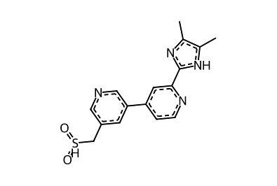 Cc1nc(-c2cc(-c3cncc(C[SH](=O)=O)c3)ccn2)[nH]c1C